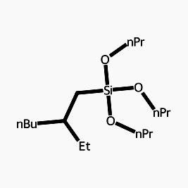 CCCCC(CC)C[Si](OCCC)(OCCC)OCCC